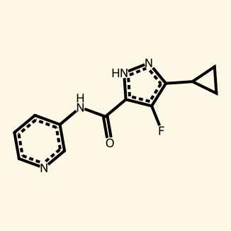 O=C(Nc1cccnc1)c1[nH]nc(C2CC2)c1F